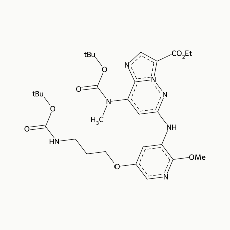 CCOC(=O)c1cnc2c(N(C)C(=O)OC(C)(C)C)cc(Nc3cc(OCCCNC(=O)OC(C)(C)C)cnc3OC)nn12